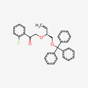 C=C[C@@H](COC(c1ccccc1)(c1ccccc1)c1ccccc1)OCC(=O)c1ccccc1F